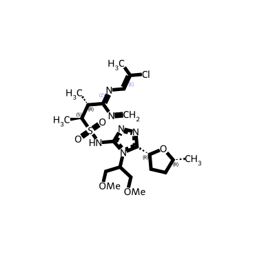 C=N/C(=N\C=C(/C)Cl)[C@@H](C)[C@H](C)S(=O)(=O)Nc1nnc([C@H]2CC[C@@H](C)O2)n1C(COC)COC